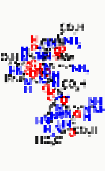 CSCC[C@H](NC(=O)[C@H](CO)NC(=O)[C@H](CC(=O)O)NC(=O)[C@H](CC(C)C)NC(=O)CNC(=O)[C@H](CO)NC(=O)[C@H](CC(=O)O)NC(=O)[C@H](Cc1c[nH]cn1)NC(=O)[C@H](CCCNC(=N)N)NC(=O)[C@H](CC(=O)O)NC(=O)[C@@H](N)CC(=O)O)C(=O)N[C@@H](CCCCN)C(=O)N[C@@H](CC(=O)O)C(=O)N[C@@H](CCC(=O)O)C(N)=O